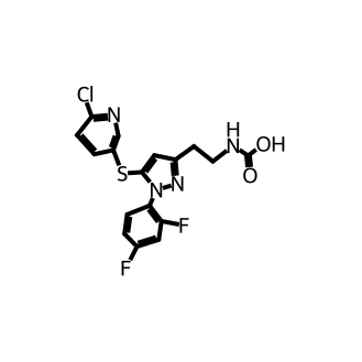 O=C(O)NCCc1cc(Sc2ccc(Cl)nc2)n(-c2ccc(F)cc2F)n1